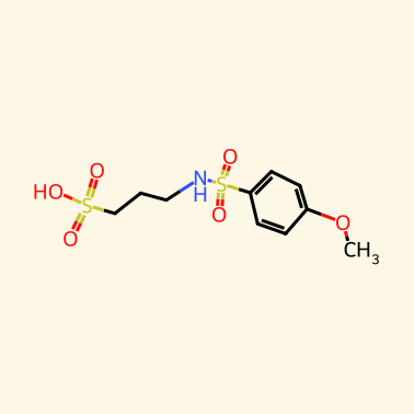 COc1ccc(S(=O)(=O)NCCCS(=O)(=O)O)cc1